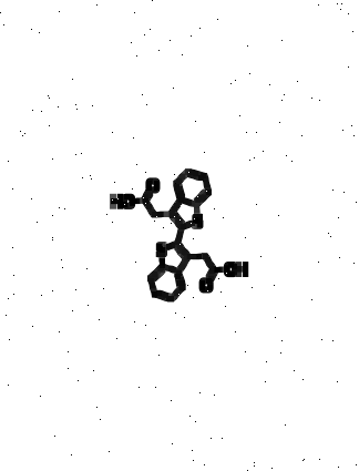 O=C(O)Cc1c(-c2sc3ccccc3c2CC(=O)O)sc2ccccc12